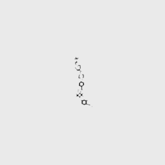 CC(C)(C)OC(=O)N1CCC(F)(CN2CCN(c3ccc(C(=O)N[C@H]4C(C)(C)[C@H](Oc5ccc(C#N)c(Cl)c5)C4(C)C)cc3)CC2)CC1